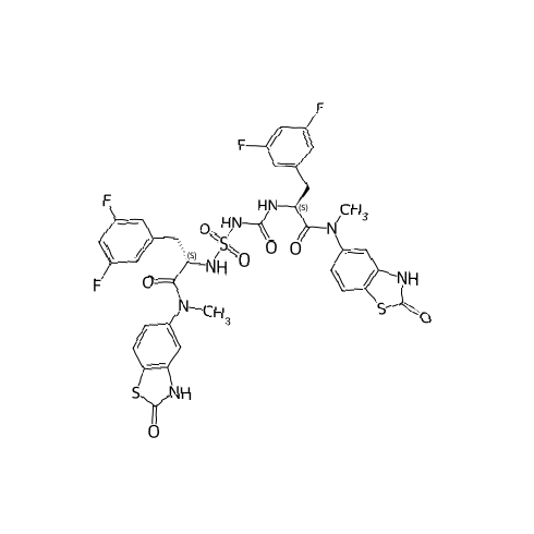 CN(C(=O)[C@H](Cc1cc(F)cc(F)c1)NC(=O)NS(=O)(=O)N[C@@H](Cc1cc(F)cc(F)c1)C(=O)N(C)c1ccc2sc(=O)[nH]c2c1)c1ccc2sc(=O)[nH]c2c1